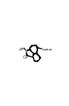 CCCCN1C(=O)c2cccc3c(SC)ccc1c23